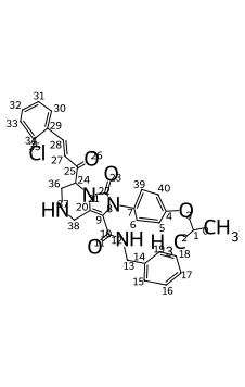 CC(C)Oc1ccc(-n2c(C(=O)NCc3ccccc3)c3n(c2=O)C(C(=O)/C=C/c2ccccc2Cl)CNC3)cc1